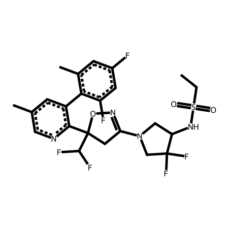 CCS(=O)(=O)NC1CN(C2=NOC(c3ncc(C)cc3-c3c(C)cc(F)cc3F)(C(F)F)C2)CC1(F)F